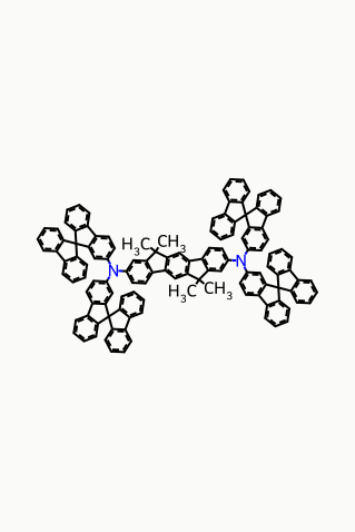 CC1(C)c2cc(N(c3ccc4c(c3)C3(c5ccccc5-c5ccccc53)c3ccccc3-4)c3ccc4c(c3)C3(c5ccccc5-c5ccccc53)c3ccccc3-4)ccc2-c2cc3c(cc21)-c1ccc(N(c2ccc4c(c2)C2(c5ccccc5-c5ccccc52)c2ccccc2-4)c2ccc4c(c2)C2(c5ccccc5-c5ccccc52)c2ccccc2-4)cc1C3(C)C